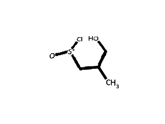 CC(CO)C[S+]([O-])Cl